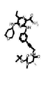 CCc1nc(C(N)=O)c(Nc2cccc(C#CCNC(=O)[C@H](C)N(C)C(=O)OC(C)(C)C)c2)nc1NC1CCOCC1